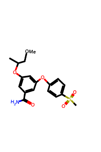 COCC(C)Oc1cc(Oc2ccc(S(C)(=O)=O)cc2)cc(C(N)=O)c1